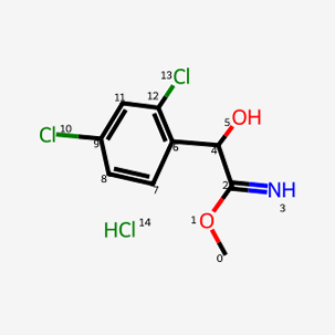 COC(=N)C(O)c1ccc(Cl)cc1Cl.Cl